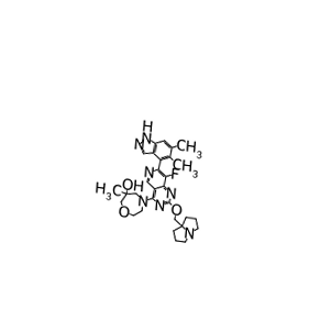 Cc1cc2[nH]ncc2c(-c2ncc3c(N4CCOCC(C)(O)C4)nc(OCC45CCCN4CCC5)nc3c2F)c1C